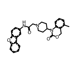 Cc1cccc2c1COC(=O)N2C1CCN(CC(=O)Nc2ccc3oc4ccccc4c3c2)CC1